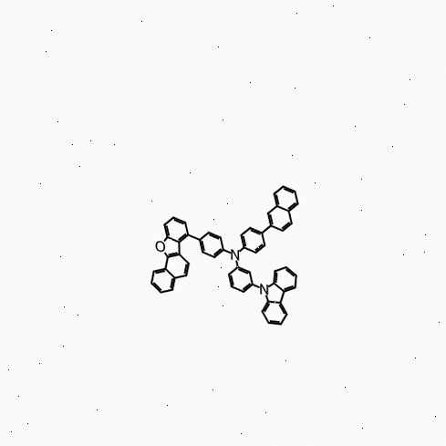 c1cc(N(c2ccc(-c3ccc4ccccc4c3)cc2)c2ccc(-c3cccc4oc5c6ccccc6ccc5c34)cc2)cc(-n2c3ccccc3c3ccccc32)c1